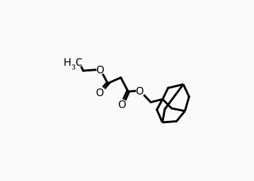 CCOC(=O)CC(=O)OCC12CC3CC(CC(C3)C1)C2